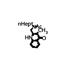 CCCCCCCN(Cc1[nH]c2ccccc2c(=O)c1C)C(C)=O